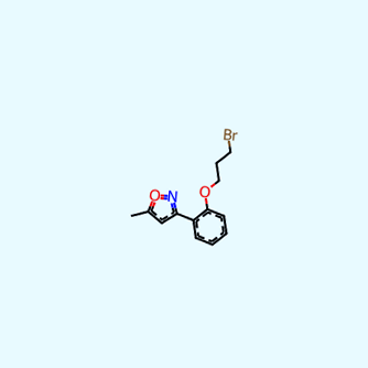 Cc1cc(-c2ccccc2OCCCBr)no1